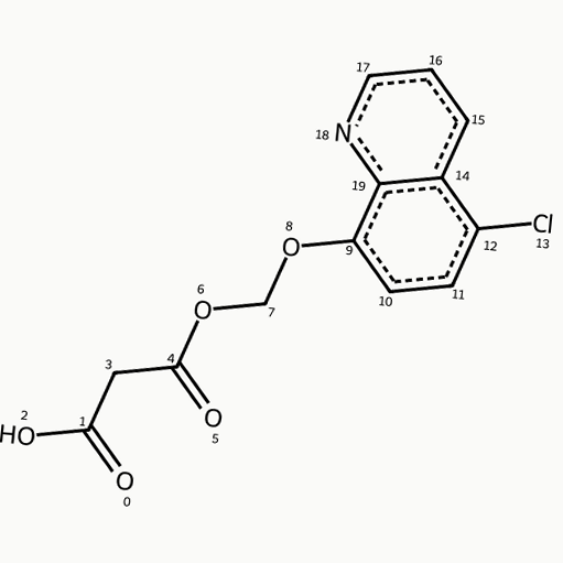 O=C(O)CC(=O)OCOc1ccc(Cl)c2cccnc12